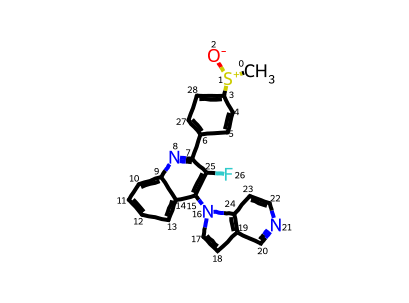 C[S+]([O-])c1ccc(-c2nc3ccccc3c(-n3ccc4cnccc43)c2F)cc1